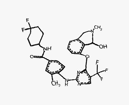 Cc1cc(C(=O)NC2CCC(F)(F)CC2)ccc1Nc1ncc(C(F)(F)F)c(Oc2cccc3c2C(O)N(C)C3)n1